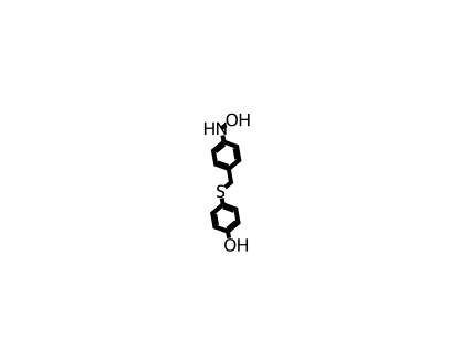 ONc1ccc(CSc2ccc(O)cc2)cc1